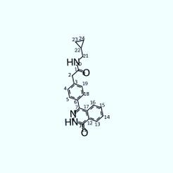 O=C(Cc1ccc(-c2n[nH]c(=O)c3ccccc23)cc1)NCC1CC1